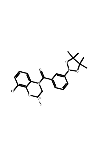 C[C@H]1CN(C(=O)c2cccc(B3OC(C)(C)C(C)(C)O3)c2)c2cccc(Cl)c2O1